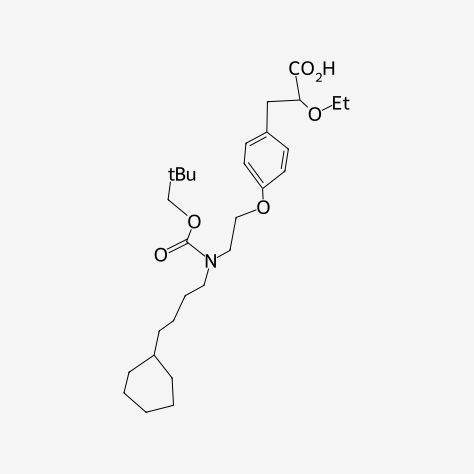 CCOC(Cc1ccc(OCCN(CCCCC2CCCCC2)C(=O)OCC(C)(C)C)cc1)C(=O)O